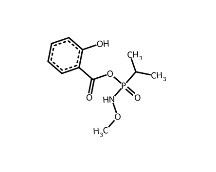 CONP(=O)(OC(=O)c1ccccc1O)C(C)C